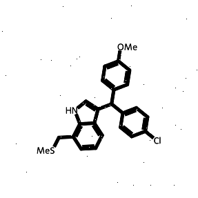 COc1ccc(C(c2ccc(Cl)cc2)c2c[nH]c3c(CSC)cccc23)cc1